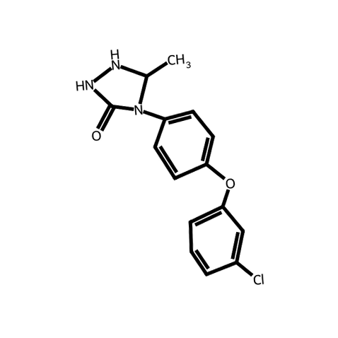 CC1NNC(=O)N1c1ccc(Oc2cccc(Cl)c2)cc1